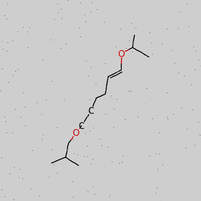 CC(C)COCCCC/C=C/OC(C)C